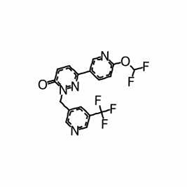 O=c1ccc(-c2ccc(OC(F)F)nc2)nn1Cc1cncc(C(F)(F)F)c1